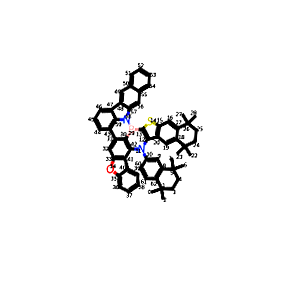 CC1(C)CCC(C)(C)c2cc(N3c4c(sc5cc6c(cc45)C(C)(C)CCC6(C)C)B4c5c(cc6oc7ccccc7c6c53)-c3cccc5c6cc7ccccc7cc6n4c35)ccc21